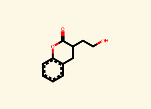 O=C1Oc2ccccc2CC1CCO